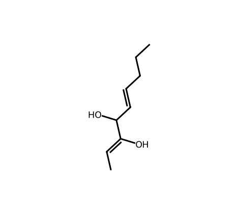 CC=C(O)C(O)C=CCCC